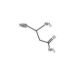 N#CC(N)CC(N)=O